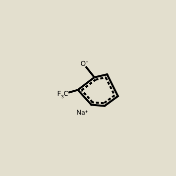 [Na+].[O-]c1ccccc1C(F)(F)F